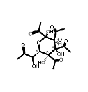 CC(=O)C(O)[C@H]1OC(O)(C(C)=O)[C@@](O)(C(C)=O)[C@](O)(C(C)=O)[C@@]1(O)C(C)=O